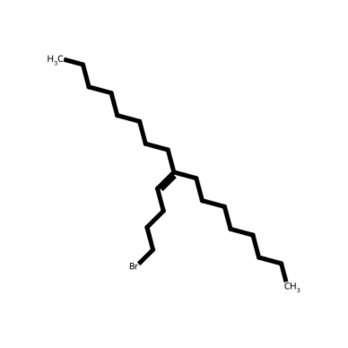 CCCCCCCCC(=CCCCBr)CCCCCCCC